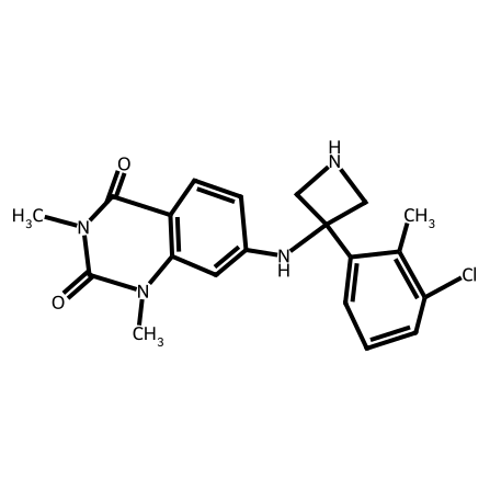 Cc1c(Cl)cccc1C1(Nc2ccc3c(=O)n(C)c(=O)n(C)c3c2)CNC1